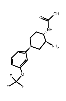 N[C@H]1C[C@@H](c2cccc(OC(F)(F)F)c2)CC[C@@H]1NC(=O)O